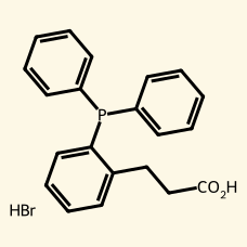 Br.O=C(O)CCc1ccccc1P(c1ccccc1)c1ccccc1